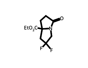 CCOC(=O)C12CCC(=O)N1CC(F)(F)C2